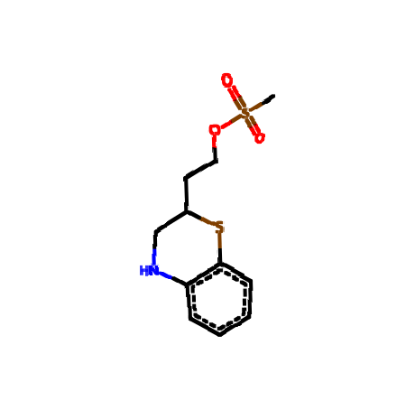 CS(=O)(=O)OCCC1CNc2ccccc2S1